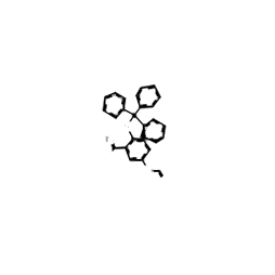 C=COc1ccc(NC(c2ccccc2)(c2ccccc2)c2ccccc2)c(C(C)=N)c1